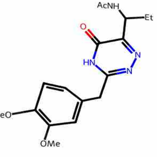 CCC(NC(C)=O)c1nnc(Cc2ccc(OC)c(OC)c2)[nH]c1=O